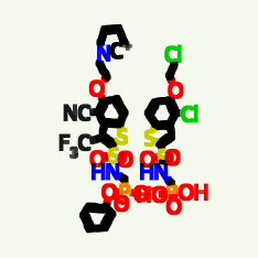 N#Cc1c(OCCN2[C+]=CC=CC2)ccc2sc(S(=O)(=O)NCP(=O)([O-])Oc3ccccc3)c(C(F)(F)F)c12.O=P(O)(O)CNS(=O)(=O)c1cc2c(Cl)c(OCCCl)ccc2s1